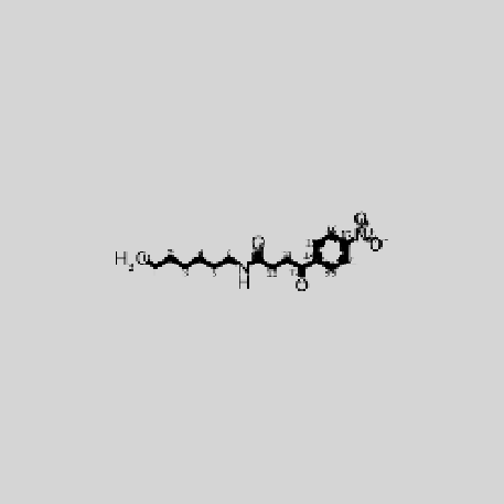 CCCCCCCNC(=O)CCC(=O)c1ccc([N+](=O)[O-])cc1